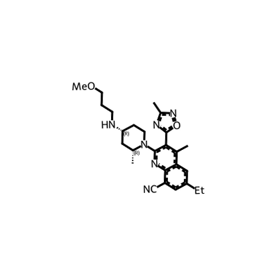 CCc1cc(C#N)c2nc(N3CC[C@@H](NCCCOC)C[C@H]3C)c(-c3nc(C)no3)c(C)c2c1